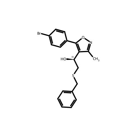 Cc1noc(-c2ccc(Br)cc2)c1[C@H](O)CSCc1ccccc1